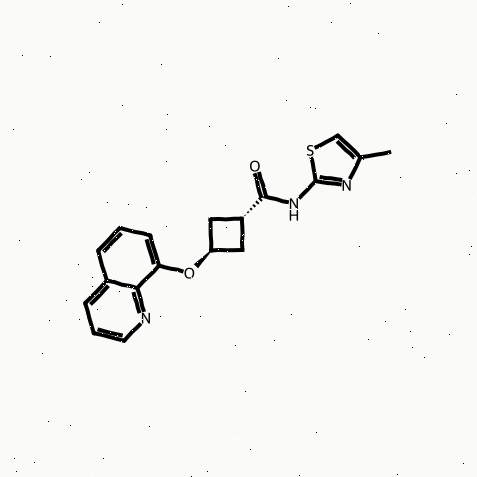 Cc1csc(NC(=O)[C@H]2C[C@H](Oc3cccc4cccnc34)C2)n1